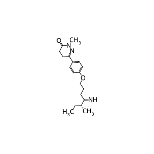 CC[C@@H](C)C(=N)CCCOc1ccc(C2=NN(C)C(=O)CC2)cc1